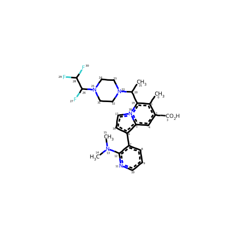 Cc1c(C(=O)O)cc2c(-c3cccnc3N(C)C)ccn2c1C(C)N1CCN(C(F)C(F)F)CC1